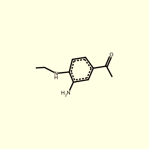 CCNc1ccc(C(C)=O)cc1N